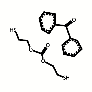 O=C(OCCS)OCCS.O=C(c1ccccc1)c1ccccc1